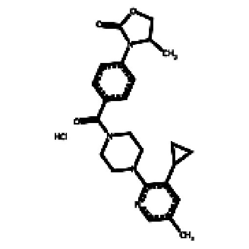 Cc1cnc(N2CCN(C(=O)c3ccc(N4C(=O)OCC4C)cc3)CC2)c(C2CC2)c1.Cl